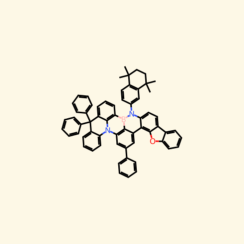 CC1(C)CCC(C)(C)c2cc(N3B4c5cccc6c5N(c5ccccc5C6(c5ccccc5)c5ccccc5)c5cc(-c6ccccc6)cc(c54)-c4c3ccc3c4oc4ccccc43)ccc21